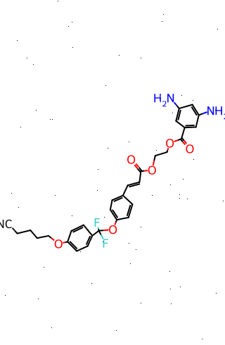 N#CCCCCOc1ccc(C(F)(F)Oc2ccc(/C=C/C(=O)OCCOC(=O)c3cc(N)cc(N)c3)cc2)cc1